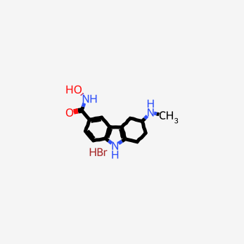 Br.CNC1CCc2[nH]c3ccc(C(=O)NO)cc3c2C1